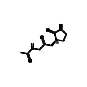 CC(=O)NCC(=O)C[C@@H]1CCNC1=O